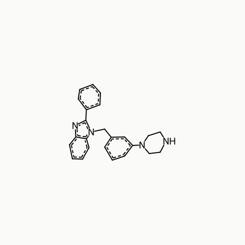 c1ccc(-c2nc3ccccc3n2Cc2cccc(N3CCNCC3)c2)cc1